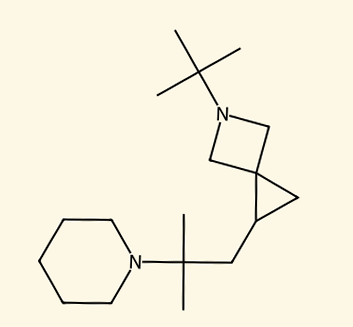 CC(C)(C)N1CC2(CC2CC(C)(C)N2CCCCC2)C1